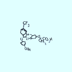 COc1ccc(Oc2c(C)n(Cc3cccc(O[C@@H](C)C(=O)O)c3)c3cc(C(F)(F)F)ccc23)cc1